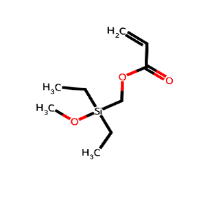 C=CC(=O)OC[Si](CC)(CC)OC